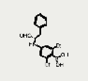 CCc1cc(N[C@H](C=O)Cc2ccccc2)cc(CC)c1B(O)O